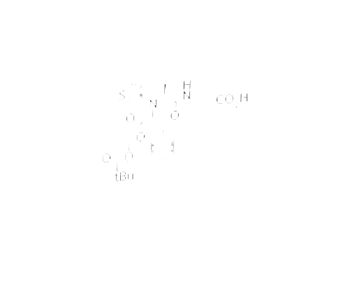 C[C@@H](C(=O)NCCC(=O)O)N(c1ccsc1)C(Cc1ccccc1)C(=O)OCOC(=O)C(C)(C)C